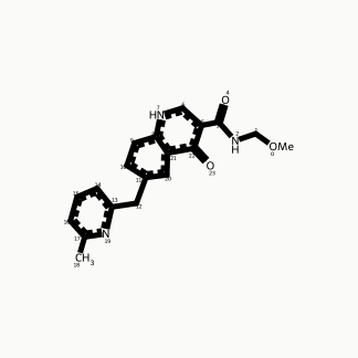 COCNC(=O)c1c[nH]c2ccc(Cc3cccc(C)n3)cc2c1=O